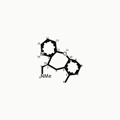 CNC[C@@H]1Cc2c(C)cccc2Oc2cccnc21